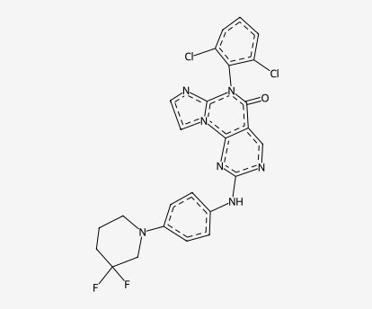 O=c1c2cnc(Nc3ccc(N4CCCC(F)(F)C4)cc3)nc2n2ccnc2n1-c1c(Cl)cccc1Cl